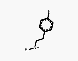 CCNCCc1ccc(F)cc1